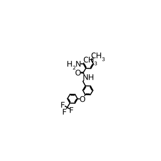 CC/C=C\C(C(=O)NCc1cccc(Oc2cccc(C(F)(F)F)c2)c1)=C(/C)N